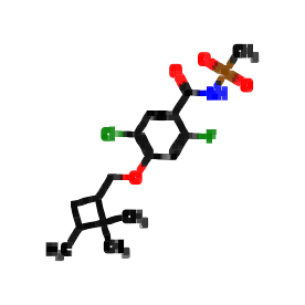 CC1CC(COc2cc(F)c(C(=O)NS(C)(=O)=O)cc2Cl)C1(C)C